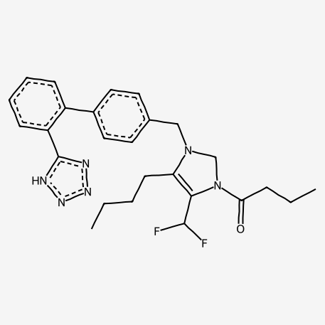 CCCCC1=C(C(F)F)N(C(=O)CCC)CN1Cc1ccc(-c2ccccc2-c2nnn[nH]2)cc1